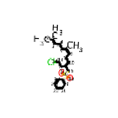 CC(C)=CCC/C(C)=C\C/C=C(\CCCl)CS(=O)(=O)c1ccccc1